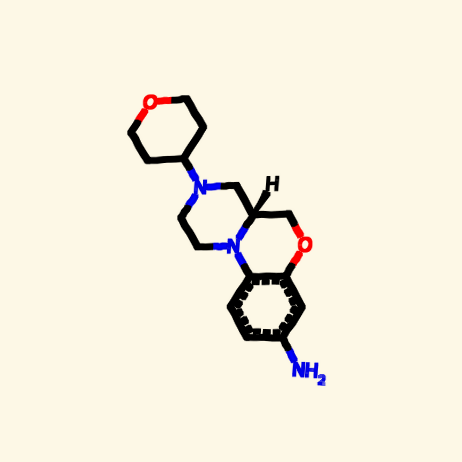 Nc1ccc2c(c1)OC[C@H]1CN(C3CCOCC3)CCN21